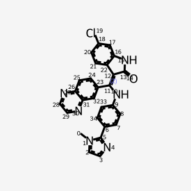 Cn1ccnc1-c1ccc(N/C(=C2\C(=O)Nc3cc(Cl)ccc32)c2ccc3nccnc3c2)cc1